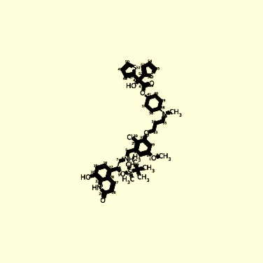 COc1cc(CNC[C@H](O[Si](C)(C)C(C)(C)C)c2ccc(O)c3[nH]c(=O)ccc23)c(Cl)c(OCCCN(C)[C@H]2CC[C@H](OC(=O)C(O)(c3cccs3)c3cccs3)CC2)c1